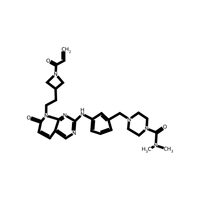 C=CC(=O)N1CC(CCn2c(=O)ccc3cnc(Nc4cccc(CN5CCN(C(=O)N(C)C)CC5)c4)nc32)C1